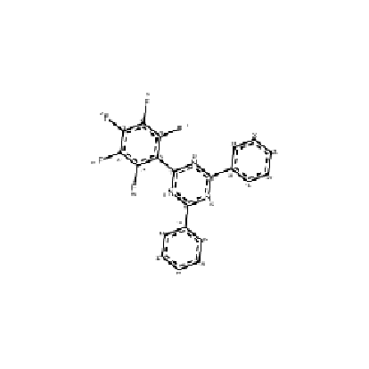 Fc1c(F)c(F)c(-c2nc(-c3ccccc3)nc(-c3ccccc3)n2)c(F)c1F